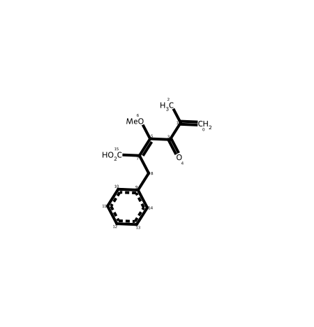 C=C(C)C(=O)C(OC)=C(Cc1ccccc1)C(=O)O